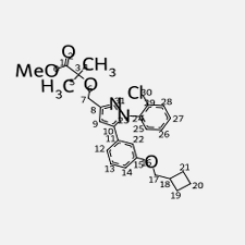 COC(=O)C(C)(C)OCc1cc(-c2cccc(OCC3CCC3)c2)n(-c2ccccc2Cl)n1